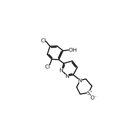 [O-][S+]1CCN(c2ccc(-c3c(O)cc(Cl)cc3Cl)nn2)CC1